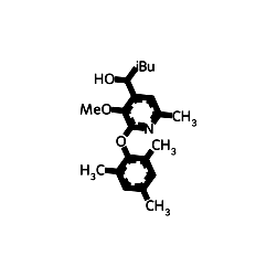 CCC(C)C(O)c1cc(C)nc(Oc2c(C)cc(C)cc2C)c1OC